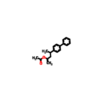 C=C(CC(C)c1ccc(-c2ccccc2)cc1)OC(C)=O